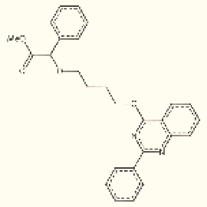 COC(=O)C(OCCCCOc1nc(-c2ccccc2)nc2ccccc12)c1ccccc1